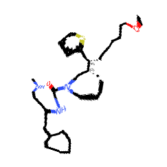 CNCC(CC1CCCCC1)NC(=O)N1CCC[C@@H]([C@@H](CCCCOC)c2cccs2)C1